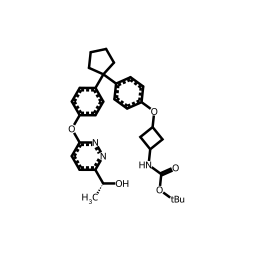 C[C@@H](O)c1ccc(Oc2ccc(C3(c4ccc(OC5CC(NC(=O)OC(C)(C)C)C5)cc4)CCCC3)cc2)nn1